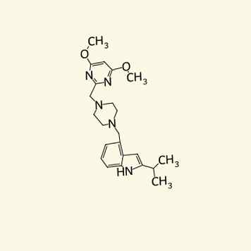 COc1cc(OC)nc(CN2CCN(Cc3cccc4[nH]c(C(C)C)cc34)CC2)n1